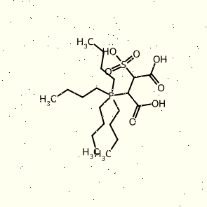 CCCCP(CCCC)(CCCC)(CCCC)C(C(=O)O)C(C(=O)O)S(=O)(=O)O